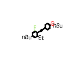 CCCCOc1ccc(C#Cc2c(F)cc(CCCC)cc2CC)cc1